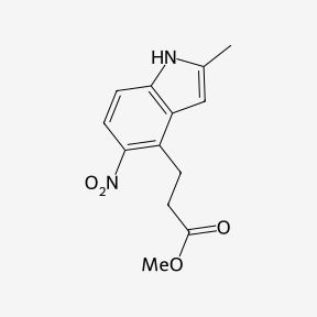 COC(=O)CCc1c([N+](=O)[O-])ccc2[nH]c(C)cc12